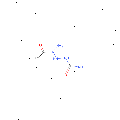 CCC(=O)N(N)NNC(N)=O